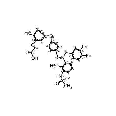 Cc1c(NS(C)(=O)=O)cccc1N(Cc1ccc(Oc2ccc(Cl)c(OCC(=O)O)c2)cc1)Cc1ccc(F)c(F)c1